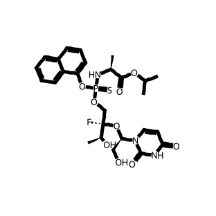 CC(C)OC(=O)[C@H](C)NP(=S)(OC[C@@](F)(O[C@H](CO)n1ccc(=O)[nH]c1=O)[C@H](C)O)Oc1cccc2ccccc12